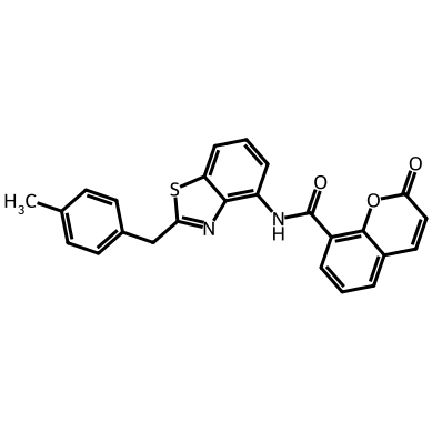 Cc1ccc(Cc2nc3c(NC(=O)c4cccc5ccc(=O)oc45)cccc3s2)cc1